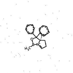 CB1OC(c2ccccc2)(c2ccccc2)[C@H]2CCC=[N+]12